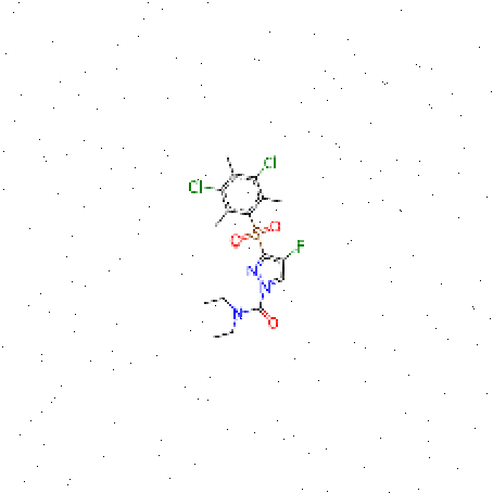 CCN(CC)C(=O)n1cc(F)c(S(=O)(=O)c2c(C)c(Cl)c(C)c(Cl)c2C)n1